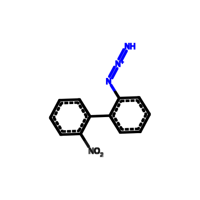 N=[N+]=Nc1ccccc1-c1ccccc1[N+](=O)[O-]